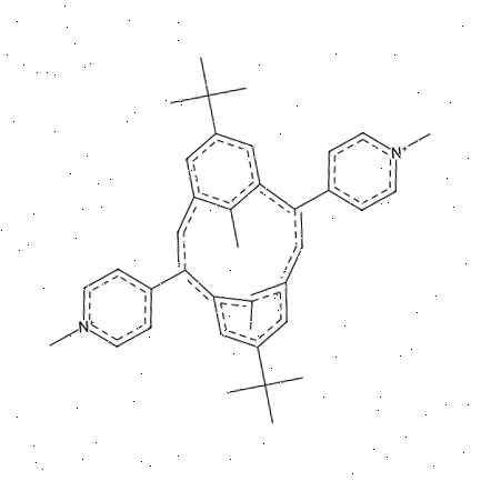 Cc1c2cc(C(C)(C)C)cc1c(-c1cc[n+](C)cc1)cc1cc(C(C)(C)C)cc(c(-c3cc[n+](C)cc3)c2)c1C